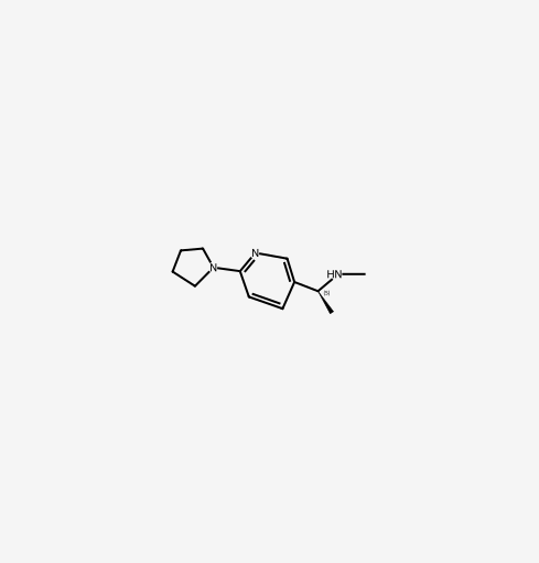 CN[C@@H](C)c1ccc(N2CCCC2)nc1